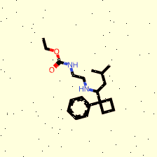 CCOC(=O)NCCNC(CC(C)C)C1(c2ccccc2)CCC1